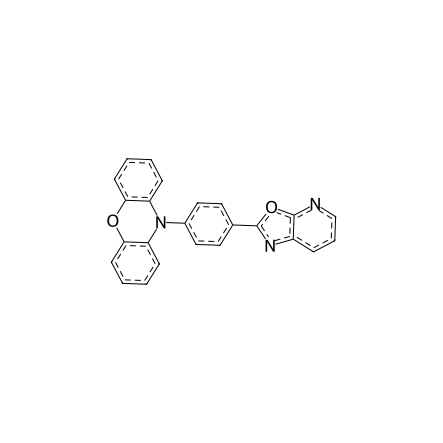 c1ccc2c(c1)Oc1ccccc1N2c1ccc(-c2nc3cccnc3o2)cc1